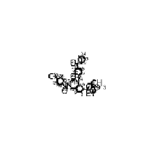 CCC(OS(C)(=O)=O)c1ccc2c(c1)N(Cc1ccc(C(=O)N3CC=CC3)cc1)C(=O)CN(C(=O)c1ccc(Cl)cc1)C2